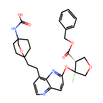 O=C(O)NC12CCC(CCc3ccnc4ccc(O[C@]5(F)COC[C@H]5C(=O)OCc5ccccc5)nc34)(CC1)OC2